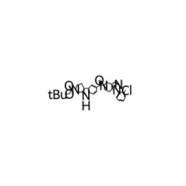 CC(C)(C)OC(=O)N1CCc2c([nH]c3ccc(C(=O)N4CCc5c(cnn5-c5ccccc5Cl)C4)cc23)C1